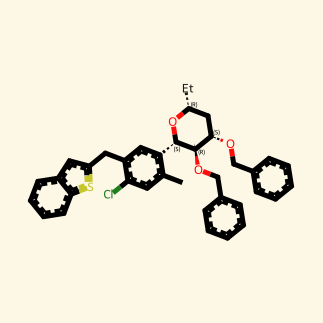 CC[C@@H]1C[C@H](OCc2ccccc2)[C@@H](OCc2ccccc2)[C@H](c2cc(Cc3cc4ccccc4s3)c(Cl)cc2C)O1